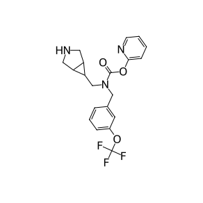 O=C(Oc1ccccn1)N(Cc1cccc(OC(F)(F)F)c1)CC1C2CNCC21